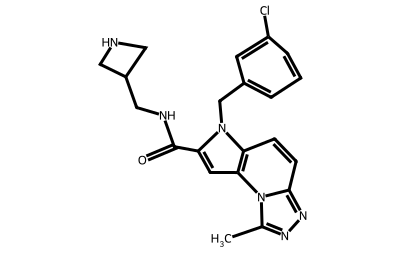 Cc1nnc2ccc3c(cc(C(=O)NCC4CNC4)n3Cc3cccc(Cl)c3)n12